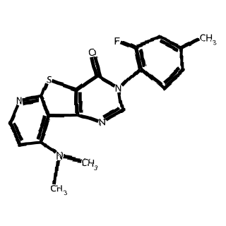 Cc1ccc(-n2cnc3c(sc4nccc(N(C)C)c43)c2=O)c(F)c1